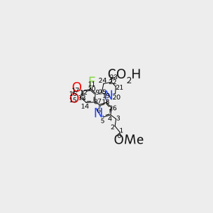 COCCCc1cnc(-c2cc(F)c3c(c2)OCO3)c(N2CCC(C(=O)O)CC2)c1